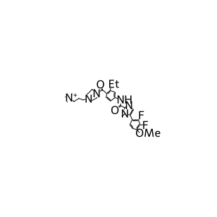 CCc1cc(NC(=O)c2ncc(-c3ccc(OC)c(F)c3F)n2C)ccc1C(=O)N1CCN(CCC[N+](C)(C)C)CC1